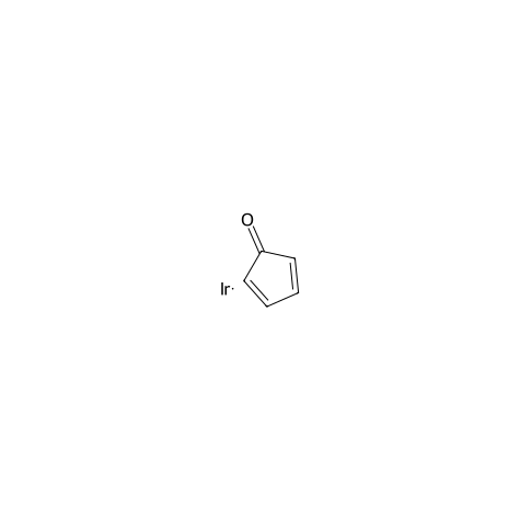 O=C1C=CC=C1.[Ir]